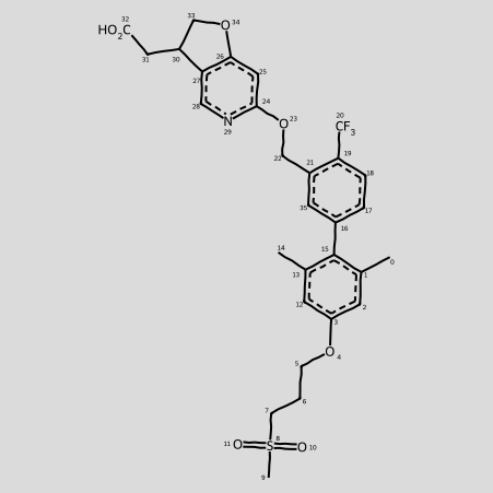 Cc1cc(OCCCS(C)(=O)=O)cc(C)c1-c1ccc(C(F)(F)F)c(COc2cc3c(cn2)C(CC(=O)O)CO3)c1